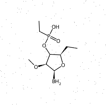 B[C@@H]1O[C@H](CC)C(OP(=O)(O)CC)[C@@H]1OC